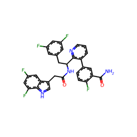 NC(=O)c1cc(-c2cccnc2C(Cc2cc(F)cc(F)c2)NC(=O)Cc2c[nH]c3c(F)cc(F)cc23)ccc1F